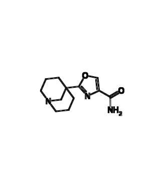 NC(=O)c1coc(C23CCCN(CCC2)C3)n1